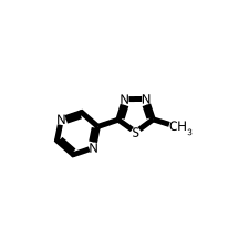 Cc1nnc(-c2cnccn2)s1